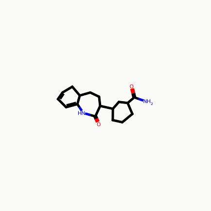 NC(=O)C1CCCC(C2CCC3CC=CC=C3NC2=O)C1